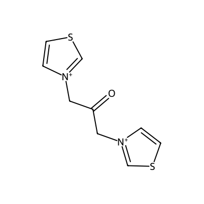 O=C(C[n+]1ccsc1)C[n+]1ccsc1